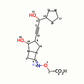 O=C(O)CO/N=C1/CC2C1CC(C#CC(O)C1CCCC1)C2O